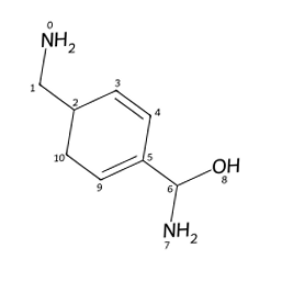 NCC1C=CC(C(N)O)=CC1